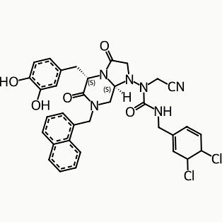 N#CCN(C(=O)NCC1=CC(Cl)C(Cl)C=C1)N1CC(=O)N2[C@@H](Cc3ccc(O)c(O)c3)C(=O)N(Cc3cccc4ccccc34)C[C@@H]21